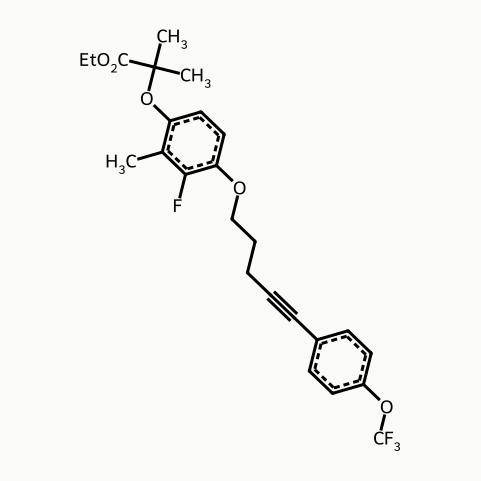 CCOC(=O)C(C)(C)Oc1ccc(OCCCC#Cc2ccc(OC(F)(F)F)cc2)c(F)c1C